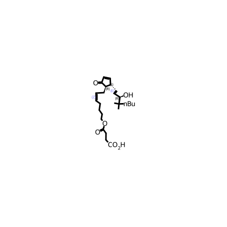 CCCCC(C)(C)[C@H](O)/C=C/[C@H]1C=CC(=O)[C@@H]1C/C=C\CCCCOC(=O)CCC(=O)O